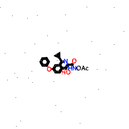 CC(=O)ONC(=O)c1nc(C2CC2)c2cc(Oc3ccccc3)ccc2c1O